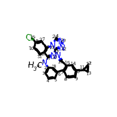 CN(c1cccc(-c2ccc(C3CC3)cc2C#N)c1)c1nc2nncn2c2cc(Cl)ccc12